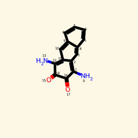 NC1=c2cc3ccccc3cc2=C(N)C(=O)C1=O